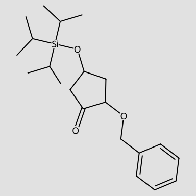 CC(C)[Si](OC1CC(=O)C(OCc2ccccc2)C1)(C(C)C)C(C)C